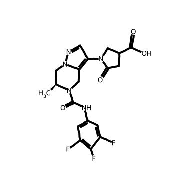 C[C@H]1Cn2ncc(N3CC(C(=O)O)CC3=O)c2CN1C(=O)Nc1cc(F)c(F)c(F)c1